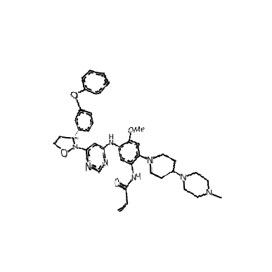 C=CC(=O)Nc1cc(Nc2cc(N3OCC[C@@H]3c3cccc(Oc4ccccc4)c3)ncn2)c(OC)cc1N1CCC(N2CCN(C)CC2)CC1